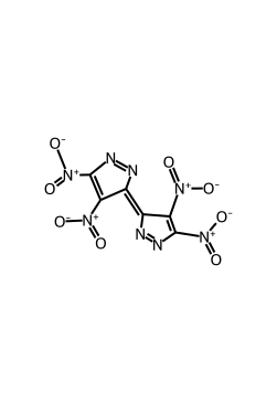 O=[N+]([O-])C1=C([N+](=O)[O-])C(=C2N=NC([N+](=O)[O-])=C2[N+](=O)[O-])N=N1